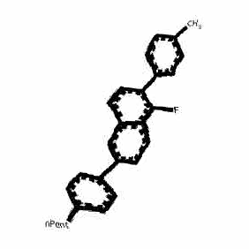 CCCCCc1ccc(-c2ccc3c(F)c(-c4ccc(C)cc4)ccc3c2)cc1